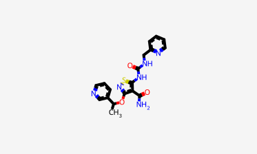 CC(Oc1nsc(NC(=O)NCc2ccccn2)c1C(N)=O)c1cccnc1